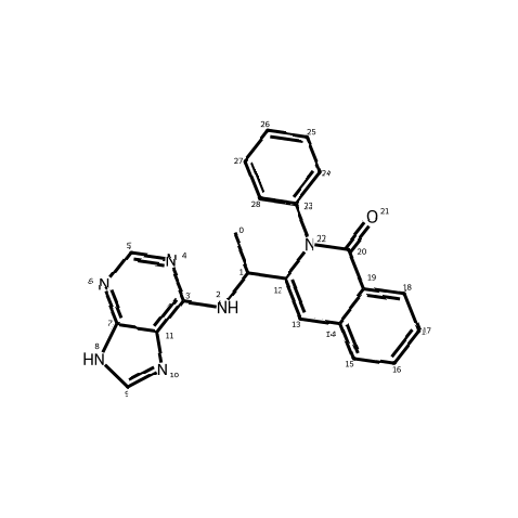 CC(Nc1ncnc2[nH]cnc12)c1cc2ccccc2c(=O)n1-c1ccccc1